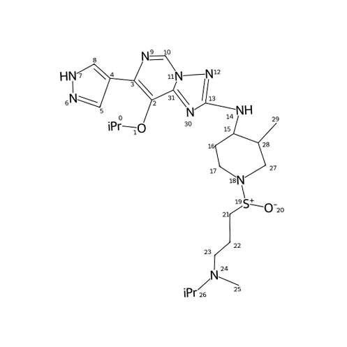 CC(C)Oc1c(-c2cn[nH]c2)ncn2nc(NC3CCN([S+]([O-])CCCN(C)C(C)C)CC3C)nc12